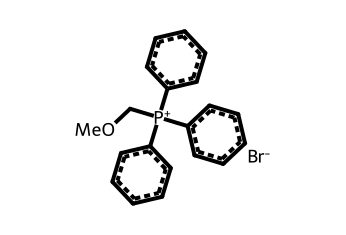 COC[P+](c1ccccc1)(c1ccccc1)c1ccccc1.[Br-]